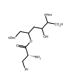 CCCCCCCCCCCC(CC(O)C(CCCCCC)C(=O)O)OC(=O)[C@H](N)CC(C)C